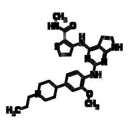 CCCN1CCC(c2ccc(Nc3nc(Nc4ccsc4C(=O)NC)c4cc[nH]c4n3)c(OC)c2)CC1